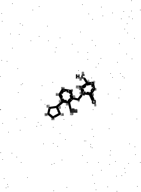 Cc1ccc(=O)n(Cc2cc[c]c(C3CCCC3)c2C(C)(C)C)n1